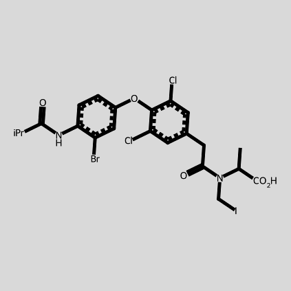 CC(C)C(=O)Nc1ccc(Oc2c(Cl)cc(CC(=O)N(CI)C(C)C(=O)O)cc2Cl)cc1Br